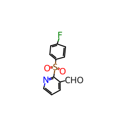 O=Cc1cccnc1S(=O)(=O)c1ccc(F)cc1